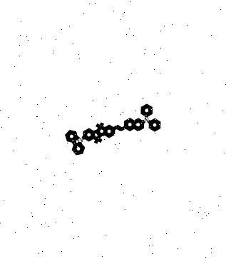 CC1(C)C2=C(c3ccc(/C=C/c4ccc5cc(N(c6ccccc6)c6ccccc6)ccc5c4)cc31)C(C)(C)c1cc(-n3c4ccccc4c4ccccc43)ccc12